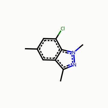 Cc1cc(Cl)c2c(c1)c(C)nn2C